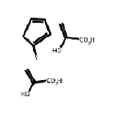 C=C(O)C(=O)O.C=C(O)C(=O)O.[Y][C]1=CC=CC1